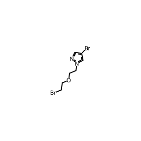 BrCCOCCn1cc(Br)cn1